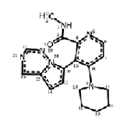 CNC(=O)c1nccc(N2CCCCC2)c1-c1ccc2cncnn12